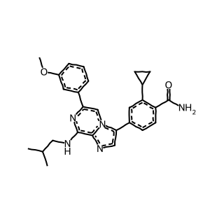 COc1cccc(-c2cn3c(-c4ccc(C(N)=O)c(C5CC5)c4)cnc3c(NCC(C)C)n2)c1